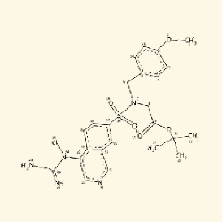 COc1ccc(CN(CC(=O)OC(C)(C)C)S(=O)(=O)c2ccc3c(N(Cl)C(=N)N)cncc3c2)cc1